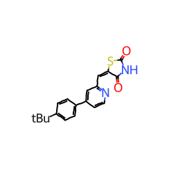 CC(C)(C)c1ccc(-c2ccnc(C=C3SC(=O)NC3=O)c2)cc1